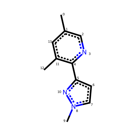 Cc1cnc(-c2ccn(C)n2)c(C)c1